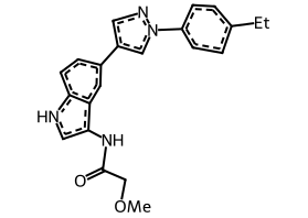 CCc1ccc(-n2cc(-c3ccc4[nH]cc(NC(=O)COC)c4c3)cn2)cc1